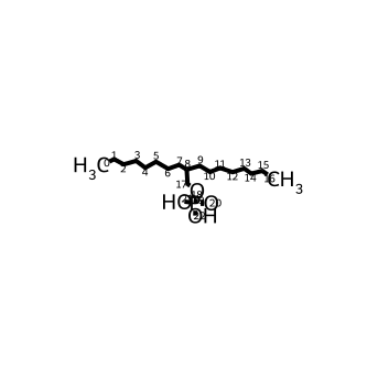 CCCCCCCCC(CCCCCCCC)COP(=O)(O)O